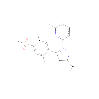 Cc1cccc(-n2nc(C(F)F)cc2-c2cc(F)c(S(C)(=O)=O)cc2F)n1